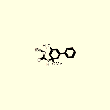 COC1(NC(=O)OC(C)(C)C)C=C(C)C=C(c2ccccc2)C1